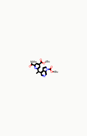 CNC(=O)c1cc(C(=O)OC(C)(C)C)cc(C(C)c2cncc3c2ccn3C(=O)OC(C)(C)C)n1